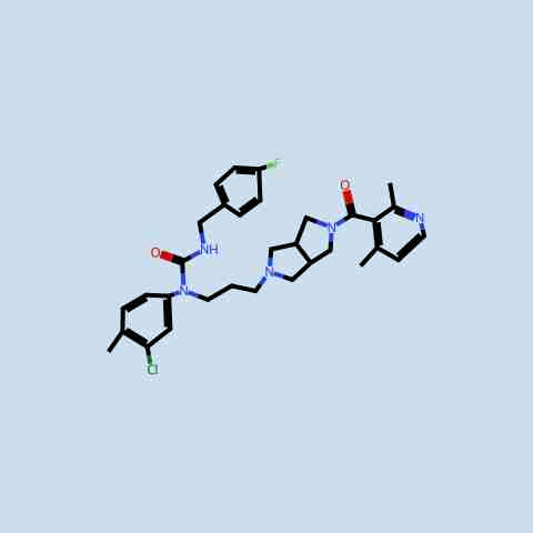 Cc1ccc(N(CCCN2CC3CN(C(=O)c4c(C)ccnc4C)CC3C2)C(=O)NCc2ccc(F)cc2)cc1Cl